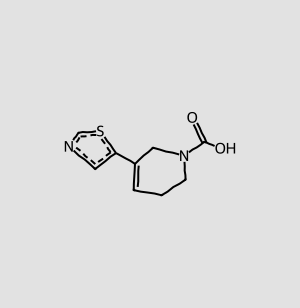 O=C(O)N1CCC=C(c2cncs2)C1